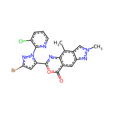 Cc1c2cn(C)nc2cc2c(=O)oc(-c3cc(Br)nn3-c3ncccc3Cl)nc12